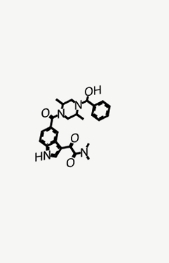 CC1CN(C(O)c2ccccc2)C(C)CN1C(=O)c1ccc2[nH]cc(C(=O)C(=O)N(C)C)c2c1